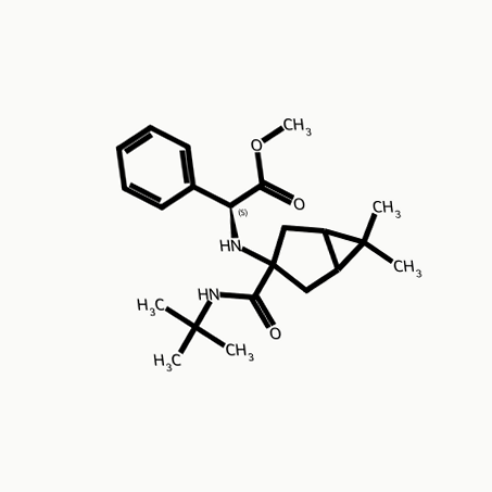 COC(=O)[C@@H](NC1(C(=O)NC(C)(C)C)CC2C(C1)C2(C)C)c1ccccc1